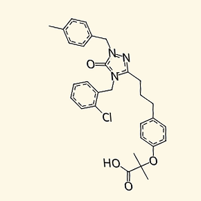 Cc1ccc(Cn2nc(CCCc3ccc(OC(C)(C)C(=O)O)cc3)n(Cc3ccccc3Cl)c2=O)cc1